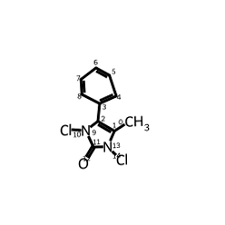 Cc1c(-c2ccccc2)n(Cl)c(=O)n1Cl